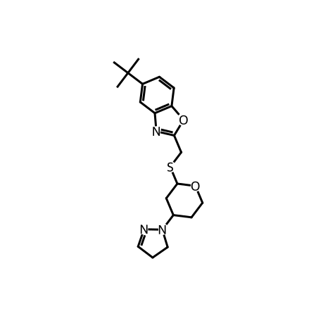 CC(C)(C)c1ccc2oc(CSC3CC(N4CCC=N4)CCO3)nc2c1